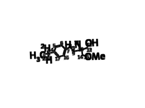 [2H]C([2H])(C)c1ccc(CCC(N)(CO)COC)cc1